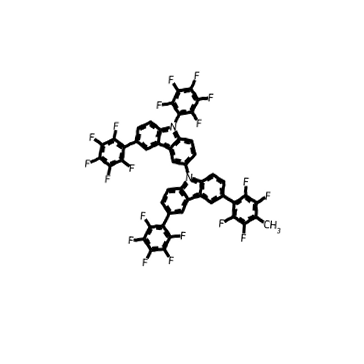 Cc1c(F)c(F)c(-c2ccc3c(c2)c2cc(-c4c(F)c(F)c(F)c(F)c4F)ccc2n3-c2ccc3c(c2)c2cc(-c4c(F)c(F)c(F)c(F)c4F)ccc2n3-c2c(F)c(F)c(F)c(F)c2F)c(F)c1F